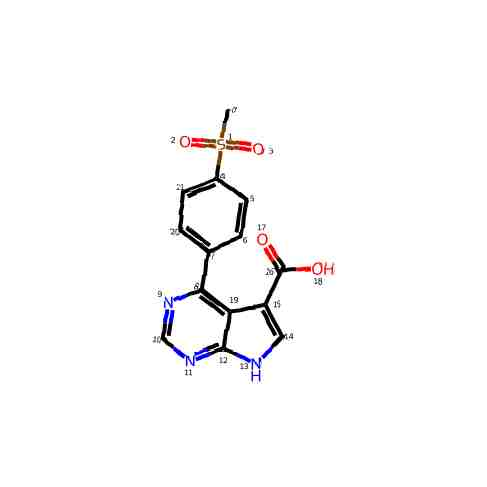 CS(=O)(=O)c1ccc(-c2ncnc3[nH]cc(C(=O)O)c23)cc1